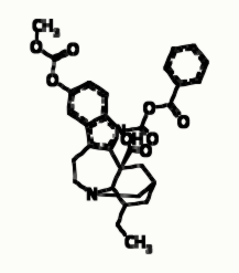 CCC1CC2CN3CCc4c(n(C(=O)OC(=O)c5ccccc5)c5ccc(OC(=O)OC)cc45)[C@](C(=O)O)(C2)C13